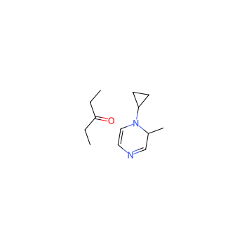 CC1C=NC=CN1C1CC1.CCC(=O)CC